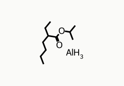 CCCCC(CC)C(=O)OC(C)C.[AlH3]